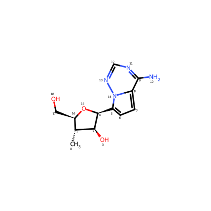 C[C@H]1[C@H](O)[C@H](c2ccc3c(N)ncnn23)O[C@@H]1CO